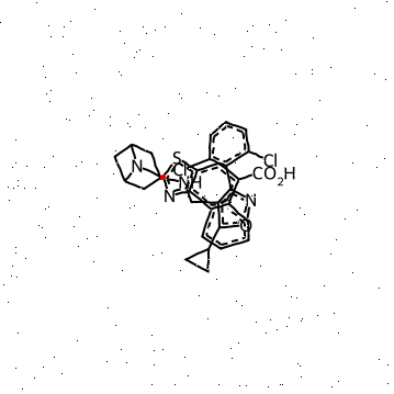 O=C(O)c1cc2sc(N3C4CC(NCc5c(-c6c(Cl)cccc6Cl)noc5C5CC5)CC3C4)nc2c2ccccc12